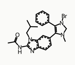 CC(=O)Nc1nc2ccc(C3=C(c4ccccc4)N(Br)CN3C)cc2n1CC(C)C